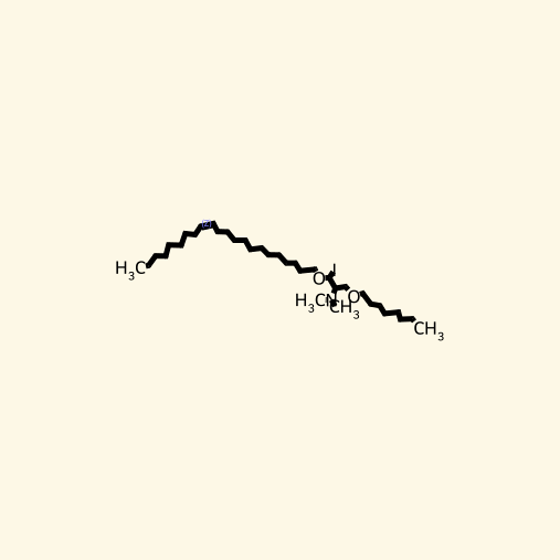 CCCCCCCC/C=C\CCCCCCCCCCCCOC(I)C(COCCCCCCCC)N(C)C